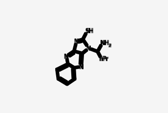 CCCC(N)n1c(S)nc2nc3ccccc3nc21